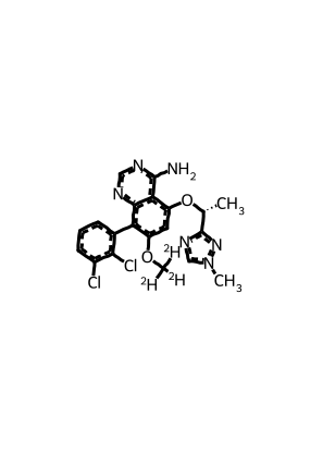 [2H]C([2H])([2H])Oc1cc(O[C@H](C)c2ncn(C)n2)c2c(N)ncnc2c1-c1cccc(Cl)c1Cl